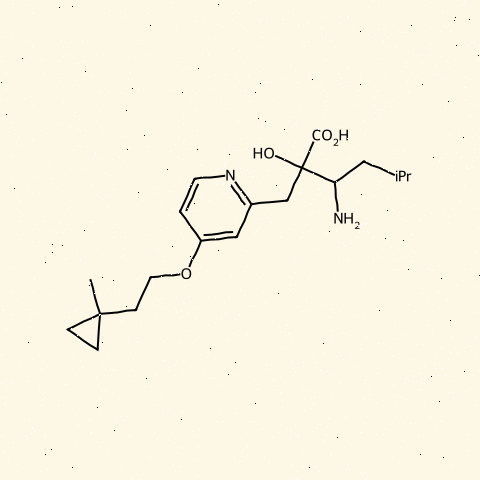 CC(C)CC(N)C(O)(Cc1cc(OCCC2(C)CC2)ccn1)C(=O)O